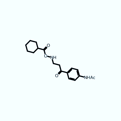 CC(=O)Nc1ccc(C(=O)CCNOC(=O)C2CCCCC2)cc1